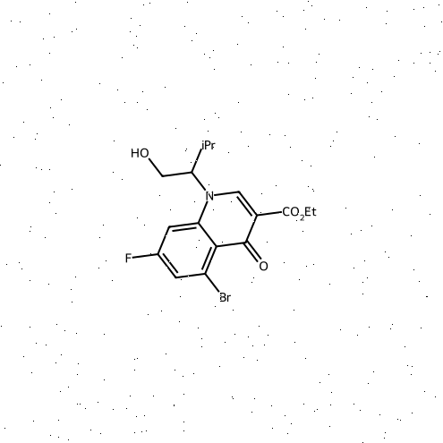 CCOC(=O)c1cn(C(CO)C(C)C)c2cc(F)cc(Br)c2c1=O